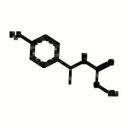 Bc1ccc(C(C)NC(=O)OC(C)(C)C)cc1